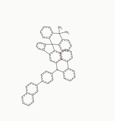 CC1(C)c2ccccc2C2(c3ccccc3-c3cc(N(c4ccc(-c5ccc6ccccc6c5)cc4)c4ccccc4-c4ccccc4)ccc32)c2ccccc21